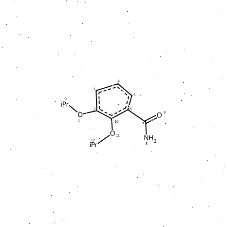 CC(C)Oc1cccc(C(N)=O)c1OC(C)C